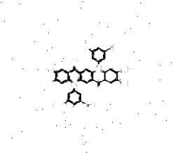 CC1=CC2C(=O)c3cc4c(cc3N(c3cc(C(C)C)cc(C(C)C)c3)C2C=C1C)c(=O)c1cc(C)c(C)cc1n4-c1cc(C(C)C)cc(C(C)C)c1